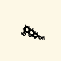 COc1cccc(CC2=C[C@H](O)CC2=O)c1